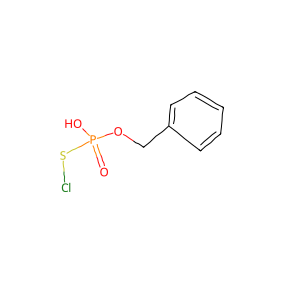 O=P(O)(OCc1ccccc1)SCl